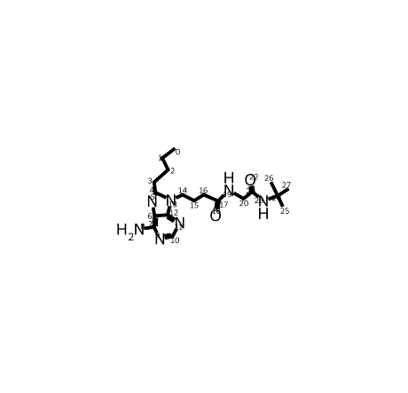 CCCCc1nc2c(N)ncnc2n1CCCC(=O)NCC(=O)NC(C)(C)C